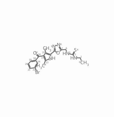 CCNC(=S)NCc1nnc(-c2[nH]c(C)c(C(=O)c3cccc(Br)c3)c2C)o1